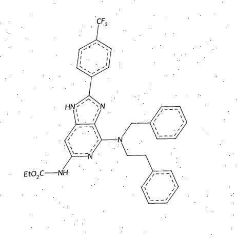 CCOC(=O)Nc1cc2[nH]c(-c3ccc(C(F)(F)F)cc3)nc2c(N(CCc2ccccc2)Cc2ccccc2)n1